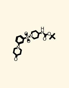 CC(C)(C)OC(=O)NC1CCN(S(=O)(=O)c2cccc(N3CCC(=O)CC3)c2)CC1